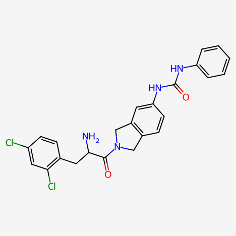 NC(Cc1ccc(Cl)cc1Cl)C(=O)N1Cc2ccc(NC(=O)Nc3ccccc3)cc2C1